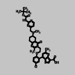 Cc1cc(-c2cc(Cl)ccc2OCCn2c(C)nc3c(c2=O)CC(N(C)Cc2ccnc(NC(=O)OC(C)(C)C)n2)CC3)c2scc(C(=O)O)c2n1